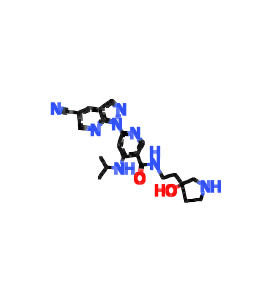 CC(C)Nc1cc(-n2ncc3cc(C#N)cnc32)ncc1C(=O)NCCC1(O)CCNC1